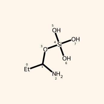 CCC(N)O[Si](O)(O)O